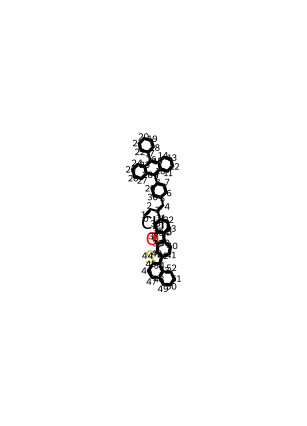 C/C=C\C(=C/c1ccc(-c2c3ccccc3c(-c3ccccc3)c3ccccc23)cc1)c1ccc2c(c1)oc1c2ccc2c1sc1ccc3ccccc3c12